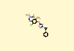 CCN(C)/C=N\c1cc(C)c(Oc2nc([C@@H]3C[C@H]3c3ccccc3)ns2)cc1Cl